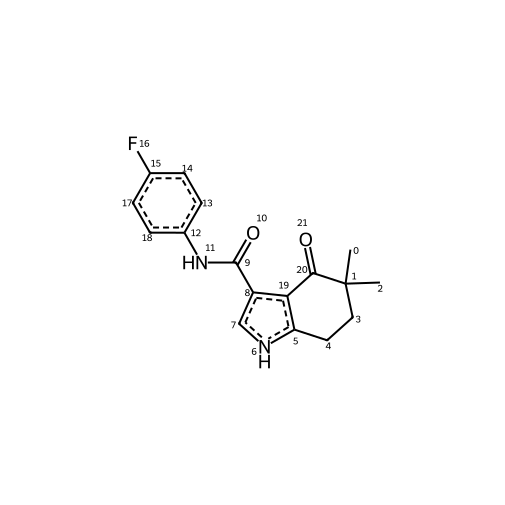 CC1(C)CCc2[nH]cc(C(=O)Nc3ccc(F)cc3)c2C1=O